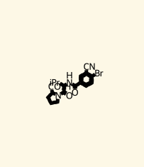 CC(C)C(NC(=O)c1ccc(Br)c(C#N)c1)C(=O)N1CCCC1C(=O)O